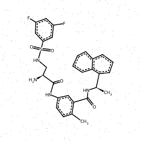 Cc1ccc(NC(=O)[C@@H](N)CNS(=O)(=O)c2cc(F)cc(F)c2)cc1C(=O)N[C@H](C)c1cccc2ccccc12